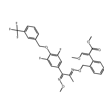 CO/C=C(/C(=O)OC)c1ccccc1CO/N=C(C)/C(=N\OC)c1cc(F)c(OCc2cccc(C(F)(F)F)c2)c(F)c1